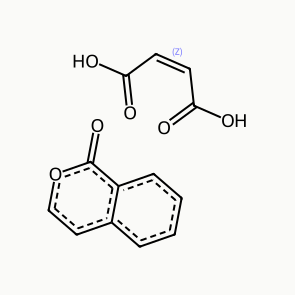 O=C(O)/C=C\C(=O)O.O=c1occc2ccccc12